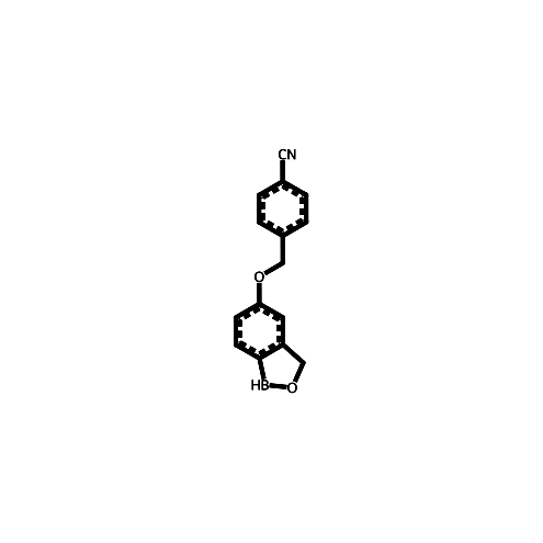 N#Cc1ccc(COc2ccc3c(c2)COB3)cc1